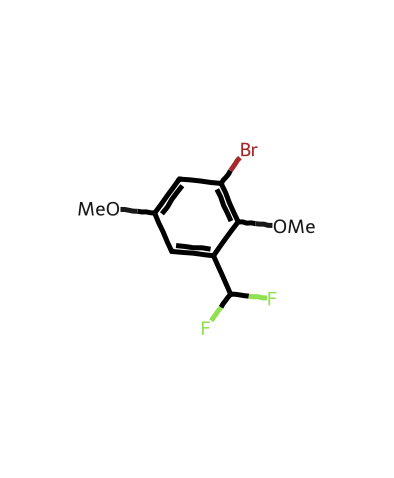 COc1cc(Br)c(OC)c(C(F)F)c1